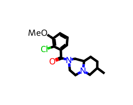 COc1cccc(C(=O)N2CCN3CC(C)CCC3C2)c1Cl